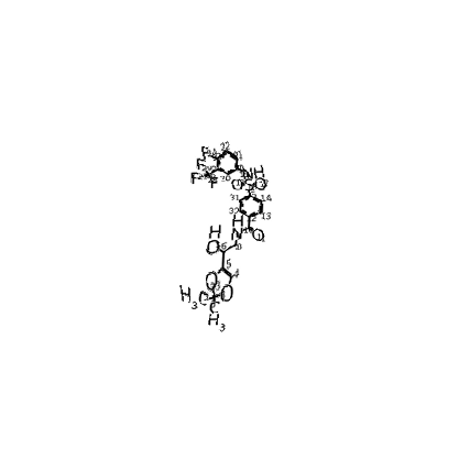 CC1(C)OCC(C(O)CNC(=O)c2ccc(S(=O)(=O)Nc3ccc(F)c(C(F)(F)F)c3)cc2)O1